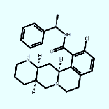 C[C@@H](NC(=O)c1c(Cl)ccc2c1[C@@H]1C[C@@H]3NCCC[C@@H]3CN1CC2)c1ccccc1